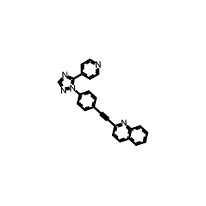 C(#Cc1ccc2ccccc2n1)c1ccc(-n2ncnc2-c2ccncc2)cc1